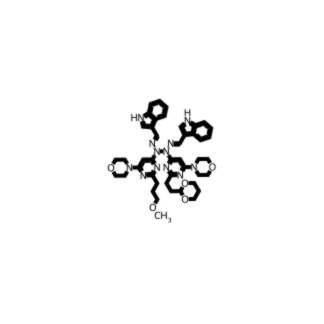 COCCCc1nc(N2CCOCC2)cc(N(N=Cc2c[nH]c3ccccc23)N(N=Cc2c[nH]c3ccccc23)c2cc(N3CCOCC3)nc(CCC3OCCCO3)n2)n1